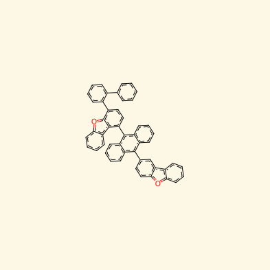 c1ccc(-c2ccccc2-c2ccc(-c3c4ccccc4c(-c4ccc5oc6ccccc6c5c4)c4ccccc34)c3c2oc2ccccc23)cc1